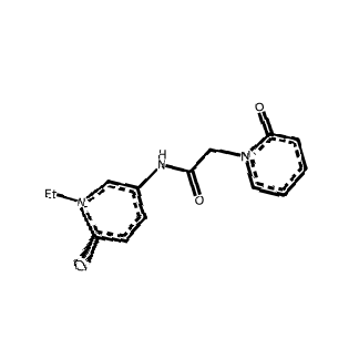 CCn1cc(NC(=O)Cn2ccccc2=O)ccc1=O